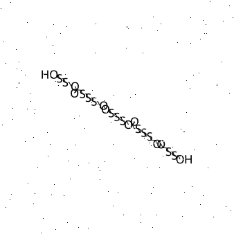 O=C(CSCSCSCCOOCSCSCSCOC(=O)CSCSCSCCOOCCSCSCO)OCCSCSCO